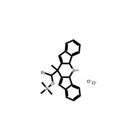 CCC(O[Si](C)(C)C)C1(C)C2=Cc3ccccc3[CH]2[Zr+2][CH]2C1=Cc1ccccc12.[Cl-].[Cl-]